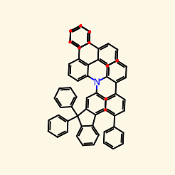 c1ccc(-c2ccc(-c3ccccc3N(c3ccc4c(c3)C(c3ccccc3)(c3ccccc3)c3ccccc3-4)c3cccc(-c4ccccc4)c3-c3ccccc3-c3ccccc3)cc2)cc1